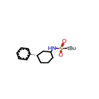 CC(C)(C)S(=O)(=O)NC1CCC[C@H](c2ccccc2)C1